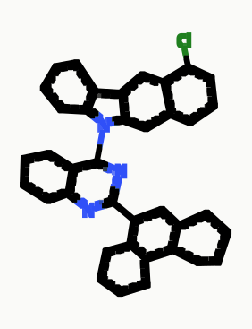 Clc1cccc2cc3c(cc12)c1ccccc1n3-c1nc(-c2cc3ccccc3c3ccccc23)nc2ccccc12